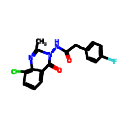 Cc1nc2c(Cl)cccc2c(=O)n1NC(=O)Cc1ccc(F)cc1